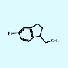 [CH2]CC1CCc2cc(Br)ccc21